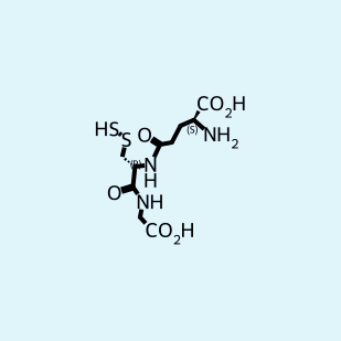 N[C@@H](CCC(=O)N[C@@H](CSS)C(=O)NCC(=O)O)C(=O)O